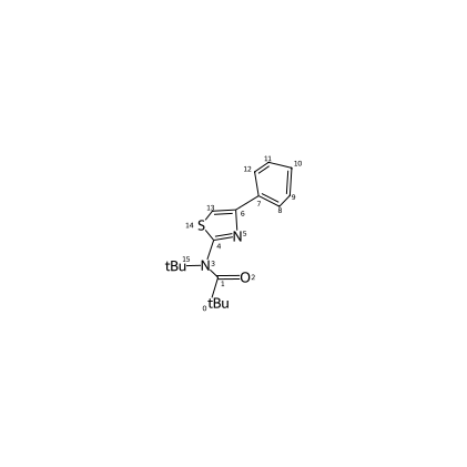 CC(C)(C)C(=O)N(c1nc(-c2ccccc2)cs1)C(C)(C)C